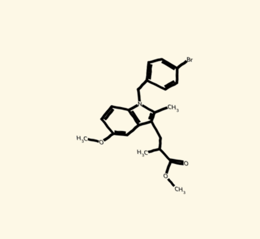 COC(=O)C(C)Cc1c(C)n(Cc2ccc(Br)cc2)c2ccc(OC)cc12